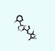 C=C/C(=C\c1c(I)n[nH]c1C)C(=O)N[C@@H](CC(C)C)c1ccccc1F